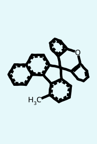 Cc1cccc2c1-c1c(ccc3ccccc13)C21C2=C(C=CCC2)Oc2ccccc21